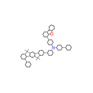 CC1(C)c2cc(-c3cccc(N(c4ccc(-c5ccccc5)cc4)c4ccc(-c5cccc6c5oc5ccccc56)cc4)c3)ccc2-c2cc3c(cc21)-c1c(-c2ccccc2)cccc1C3(C)C